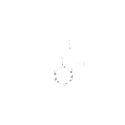 CCCc1c(O)cccc1O